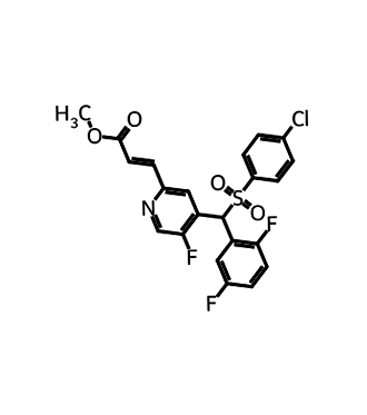 COC(=O)/C=C/c1cc(C(c2cc(F)ccc2F)S(=O)(=O)c2ccc(Cl)cc2)c(F)cn1